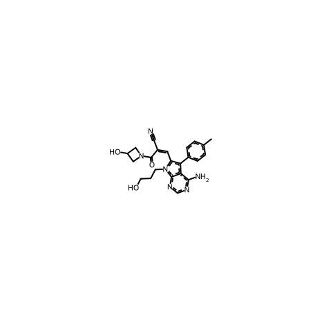 Cc1ccc(-c2c(/C=C(/C#N)C(=O)N3CC(O)C3)n(CCCO)c3ncnc(N)c23)cc1